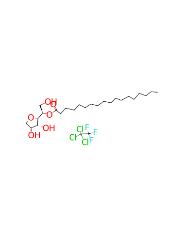 CCCCCCCCCCCCCCCCCC(=O)O[C@H](CO)[C@H]1OC[C@H](O)[C@H]1O.FC(F)(F)C(Cl)(Cl)Cl